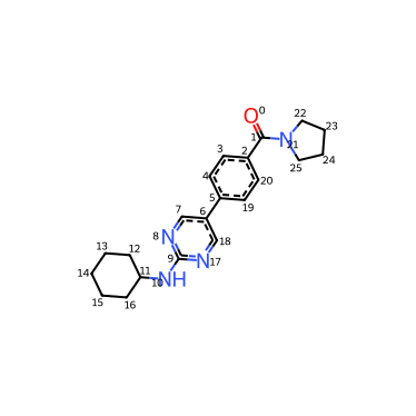 O=C(c1ccc(-c2cnc(NC3CCCCC3)nc2)cc1)N1CCCC1